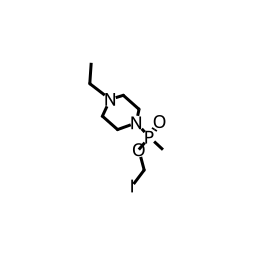 CCN1CCN(P(C)(=O)OCI)CC1